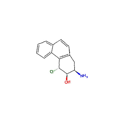 N[C@@H]1Cc2ccc3ccccc3c2[C@@H](Cl)[C@@H]1O